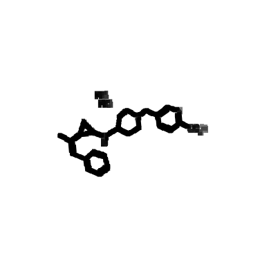 CC(=Cc1ccccc1)C1CC1NC1CCN(Cc2ccc(C(=O)O)nc2)CC1.Cl.Cl